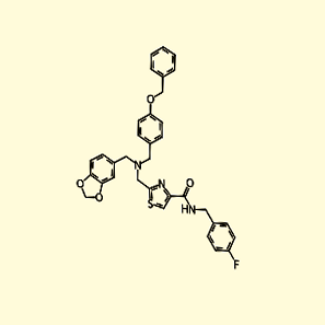 O=C(NCc1ccc(F)cc1)c1csc(CN(Cc2ccc(OCc3ccccc3)cc2)Cc2ccc3c(c2)OCO3)n1